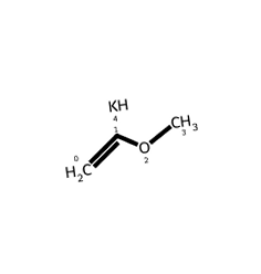 C=COC.[KH]